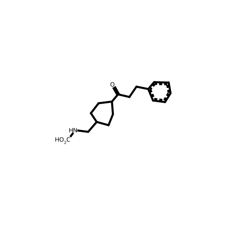 O=C(O)NCC1CCC(C(=O)CCc2ccccc2)CC1